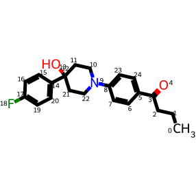 CCCC(=O)c1ccc(N2CCC(O)(c3ccc(F)cc3)CC2)cc1